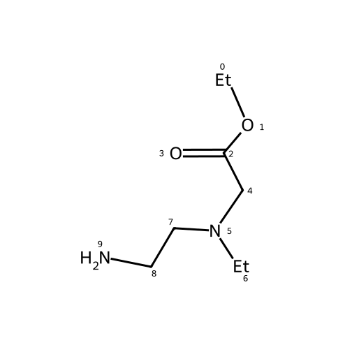 CCOC(=O)CN(CC)CCN